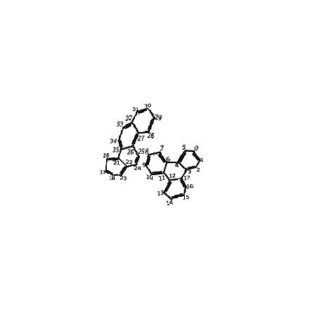 c1ccc2c(c1)c1ccccc1c1ccccc21.c1ccc2c(c1)ccc1c3ccccc3ccc21